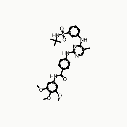 COc1cc(NC(=O)c2ccc(Nc3ncc(C)c(Nc4cccc(S(=O)(=O)NC(C)(C)C)c4)n3)cc2)cc(OC)c1OC